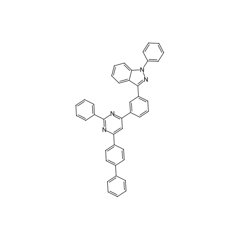 c1ccc(-c2ccc(-c3cc(-c4cccc(-c5nn(-c6ccccc6)c6ccccc56)c4)nc(-c4ccccc4)n3)cc2)cc1